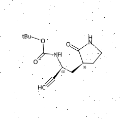 C#C[C@H](C[C@@H]1CCNC1=O)NC(=O)OC(C)(C)C